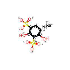 O=S(=O)([O-])c1ccc(O)c(S(=O)(=O)[O-])c1O.[Na+].[Na+]